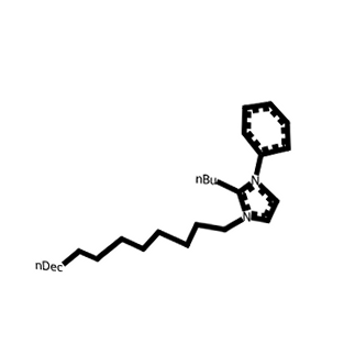 CCCCCCCCCCCCCCCCCC[n+]1ccn(-c2ccccc2)c1CCCC